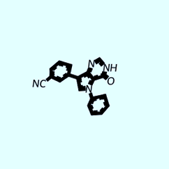 N#Cc1cccc(-c2cn(-c3ccccc3)c3c(=O)[nH]cnc23)c1